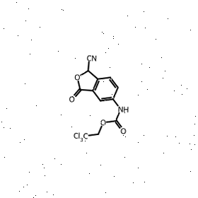 N#CC1OC(=O)c2cc(NC(=O)OCC(Cl)(Cl)Cl)ccc21